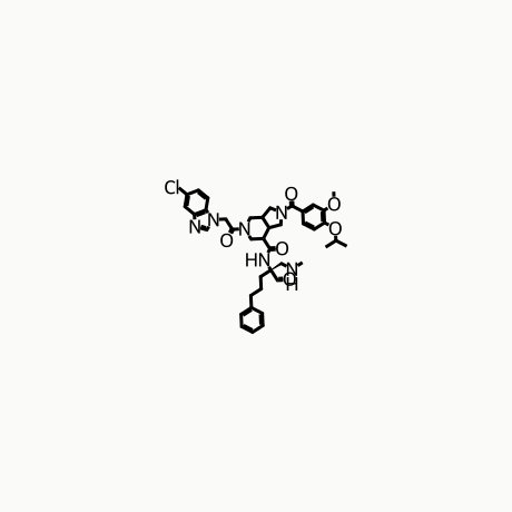 CNC[C@@](C=O)(CCCc1ccccc1)NC(=O)C1CN(C(=O)Cn2cnc3cc(Cl)ccc32)CC2CN(C(=O)c3ccc(OC(C)C)c(OC)c3)CC21